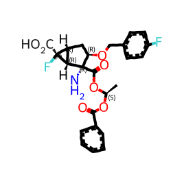 C[C@@H](OC(=O)c1ccccc1)OC(=O)[C@@]1(N)[C@H]2[C@@H](C[C@H]1OCc1ccc(F)cc1)[C@]2(F)C(=O)O